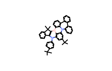 CC(C)(C)c1ccc(N2C3=C(B4c5cccc6c5N(c5ccccc5-c5ccccc5-6)c5cc(C(C)(C)C)cc2c54)C(C)(C)c2ccccc23)cc1